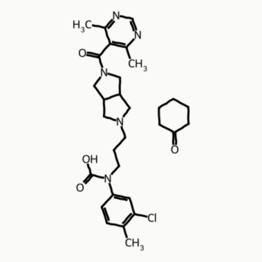 Cc1ccc(N(CCCN2CC3CN(C(=O)c4c(C)ncnc4C)CC3C2)C(=O)O)cc1Cl.O=C1CCCCC1